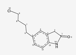 O=C1Cc2cc(CCCCCl)ccc2N1